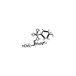 CCCCCCCCCCCCOS(=O)(=O)c1ccc(C)cc1.CNC